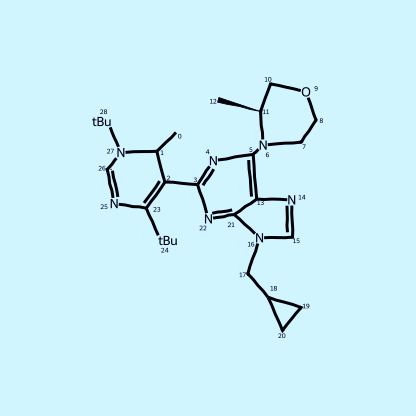 CC1C(c2nc(N3CCOC[C@@H]3C)c3ncn(CC4CC4)c3n2)=C(C(C)(C)C)N=[C]N1C(C)(C)C